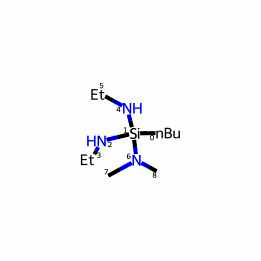 CCCC[Si](NCC)(NCC)N(C)C